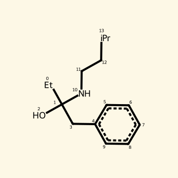 [CH2]CC(O)(Cc1ccccc1)NCCC(C)C